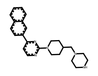 c1ccc2cc(-c3ccnc(N4CCC(CN5CCNCC5)CC4)n3)ccc2c1